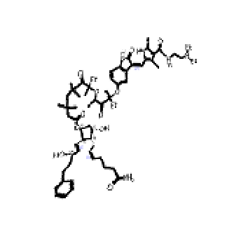 CCN(CC)CCNC(=O)c1c(C)[nH]c(/C=C2\C(=O)Nc3ccc(OC(C)(CC)C(=O)C(C)OC(C)(CC)C(=O)C(C)(C)CC(C)(C)CC(=O)O[C@@H]4C[C@H](O)[C@H](C/C=C\CCCC(N)=O)[C@H]4/C=C/[C@H](O)CCc4ccccc4)cc32)c1C